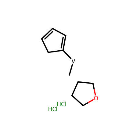 C1CCOC1.Cl.Cl.[CH3][V][C]1=CC=CC1